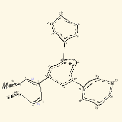 CN/C=C(\C=C/C(C)C)c1cc(-c2cccnc2)cc(-c2cccnc2)c1